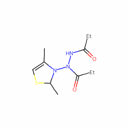 CCC(=O)NN(C(=O)CC)N1C(C)=CSC1C